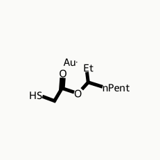 CCCCCC(CC)OC(=O)CS.[Au]